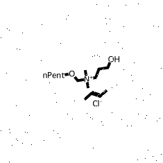 CC=CC.CCCCCOC[N+](C)(C)CCCO.[Cl-]